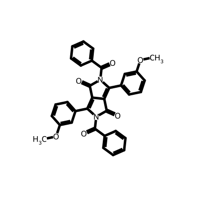 COc1cccc(C2=C3C(=O)N(C(=O)c4ccccc4)C(c4cccc(OC)c4)=C3C(=O)N2C(=O)c2ccccc2)c1